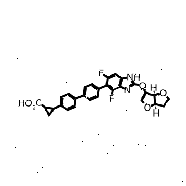 O=C(O)C1CC1c1ccc(-c2ccc(-c3c(F)cc4[nH]c(OC5CO[C@@H]6CCO[C@H]56)nc4c3F)cc2)cc1